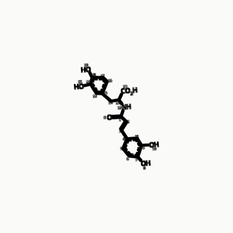 O=C(C=Cc1ccc(O)c(O)c1)NC(Cc1ccc(O)c(O)c1)C(=O)O